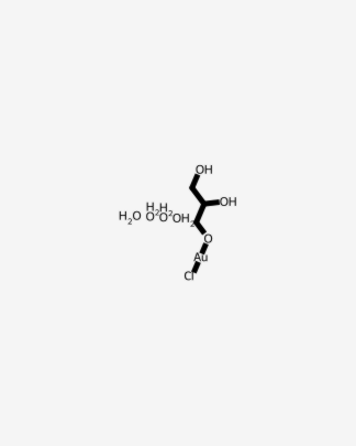 O.O.O.O.OCC(O)C[O][Au][Cl]